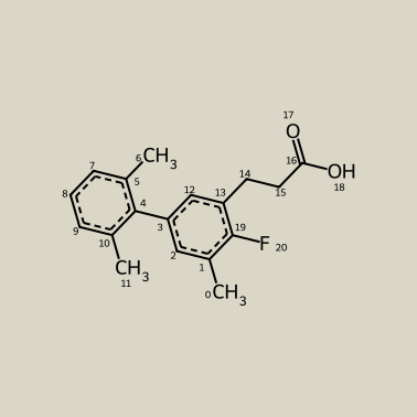 Cc1cc(-c2c(C)cccc2C)cc(CCC(=O)O)c1F